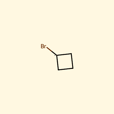 Br[C]1CCC1